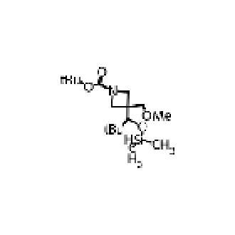 COCC1(C(O[SiH](C)C)C(C)(C)C)CN(C(=O)OC(C)(C)C)C1